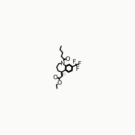 CCCCC(=O)N1CCC/C(=C\C(=O)OCC)c2ccc(C(F)(F)F)cc21